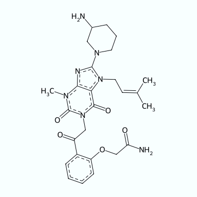 CC(C)=CCn1c(N2CCCC(N)C2)nc2c1c(=O)n(CC(=O)c1ccccc1OCC(N)=O)c(=O)n2C